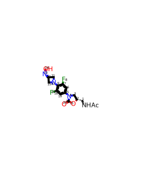 CC(=O)NC[C@H]1CN(c2cc(F)c(N3CC(=NO)C3)c(F)c2)C(=O)O1